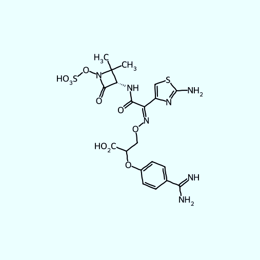 CC1(C)[C@H](NC(=O)C(=NOCC(Oc2ccc(C(=N)N)cc2)C(=O)O)c2csc(N)n2)C(=O)N1OS(=O)(=O)O